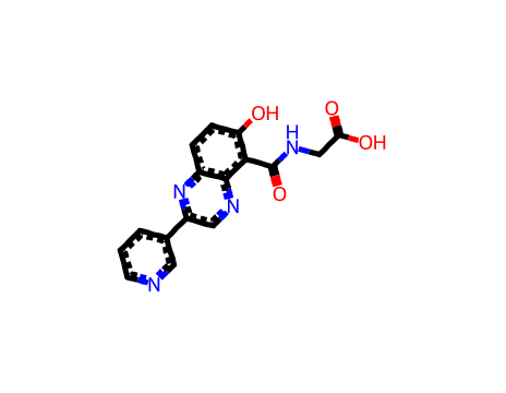 O=C(O)CNC(=O)c1c(O)ccc2nc(-c3cccnc3)cnc12